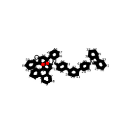 C1=CC2c3ccccc3-c3ccc(N(c4ccc(-c5cccc(-c6ccc(-n7c8ccccc8c8ccccc87)cc6)c5)cc4)c4ccccc4-c4ccc5c(c4)oc4ccccc45)cc3C2C=C1